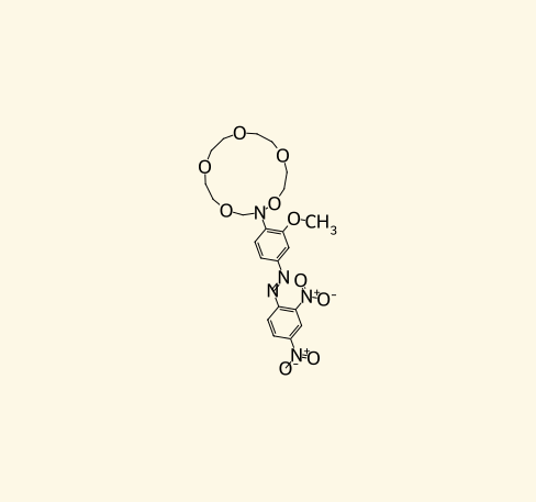 COc1cc(N=Nc2ccc([N+](=O)[O-])cc2[N+](=O)[O-])ccc1N1COCCOCCOCCOCCO1